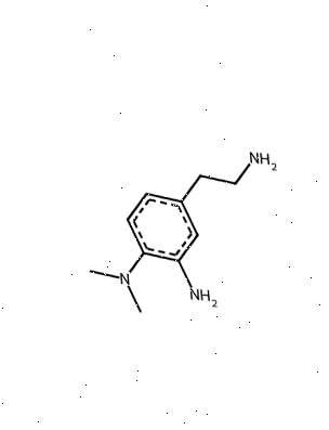 CN(C)c1ccc(CCN)cc1N